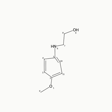 COc1[c]cc(NCCO)cc1